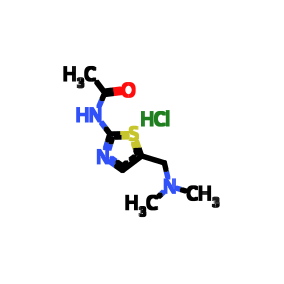 CC(=O)Nc1ncc(CN(C)C)s1.Cl